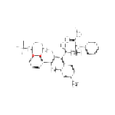 COC(=O)N(NC(=O)c1c(CN2CCN(C(C)(C)C)CC2)c(-c2ccccc2)nc2cc(Br)ccc12)c1ccccc1